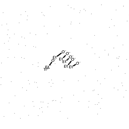 CC[O-].CC[O-].CC[O-].CC[O-].CC[O-].CC[O-].[Ti+6]